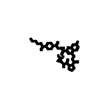 CCCCOC(=O)N1CCN(C(=O)CNC(=O)c2cc(OCC(=O)N3CCCC3C(=O)NC3CC3(F)F)c3ccc(C)cc3n2)CC1